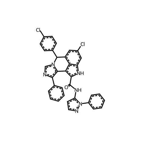 O=C(Nc1ccnn1-c1ccccc1)c1[nH]c2cc(Cl)cc3c2c1-c1c(-c2ccccc2)ncn1C3c1ccc(Cl)cc1